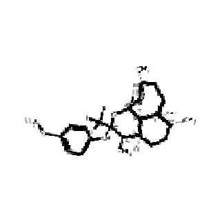 COc1ccc(N[C@@]2(C(F)(F)F)O[C@@H]3O[C@]4(C)CC[C@H]5[C@H](C)CC[C@@H]([C@H]2C)[C@@]35OO4)cc1